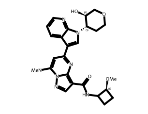 CNc1cc(-c2cn([C@H]3CCOC[C@@H]3O)c3ncccc23)nc2c(C(=O)NC3CC[C@@H]3OC)cnn12